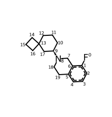 Fc1cccc2c1CN([C@@H]1CCCC3(CCC3)C1)CC2